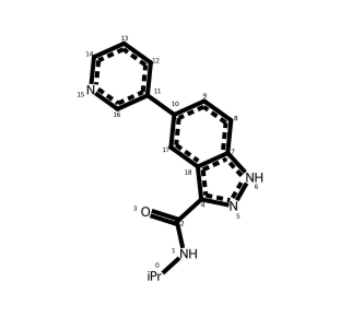 CC(C)NC(=O)c1n[nH]c2ccc(-c3cccnc3)cc12